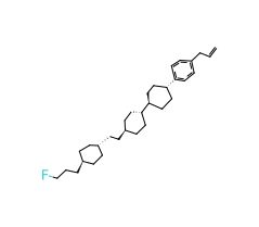 C=CCc1ccc([C@H]2CC[C@H]([C@H]3CC[C@H](CC[C@H]4CC[C@H](CCCF)CC4)CC3)CC2)cc1